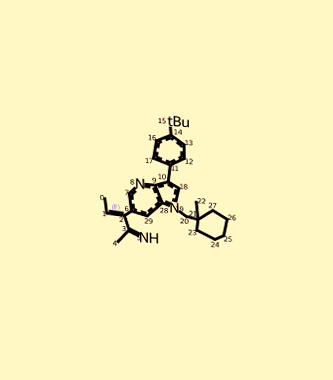 C/C=C(/C(C)=N)c1cnc2c(-c3ccc(C(C)(C)C)cc3)cn(CC3(C)CCCCC3)c2c1